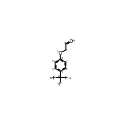 O=[C]COc1ccc(C(F)(F)F)cc1